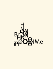 CNS(=O)(=O)c1ccc(OC(C)C)c(Nc2ncnc3[nH]cc(Br)c23)c1